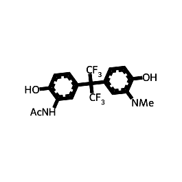 CNc1cc(C(c2ccc(O)c(NC(C)=O)c2)(C(F)(F)F)C(F)(F)F)ccc1O